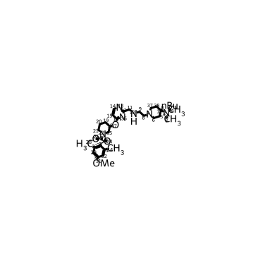 CCCCC1(N(C)C)CCN(CCNCc2nccc(OC3CCCN(S(=O)(=O)c4c(C)cc(OC)cc4C)C3)n2)CC1